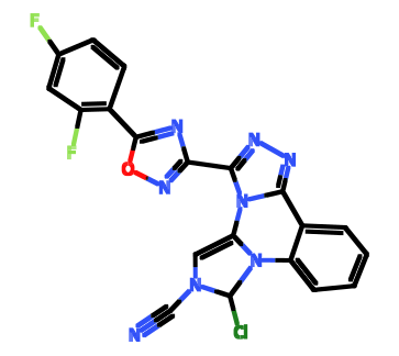 N#CN1C=C2N(c3ccccc3-c3nnc(-c4noc(-c5ccc(F)cc5F)n4)n32)C1Cl